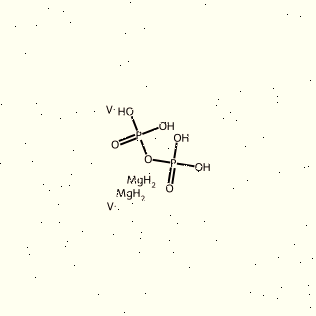 O=P(O)(O)OP(=O)(O)O.[MgH2].[MgH2].[V].[V]